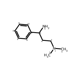 CN(C)CCC(N)c1ccccc1